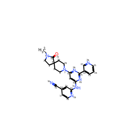 CN1CCC2(CCN(c3cc(Nc4cc(C#N)ccn4)nc(-c4cccnc4)n3)CC2)C1=O